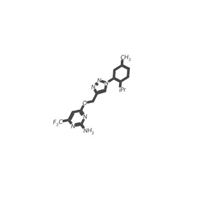 CC1CCC(C(C)C)C(n2cc(COc3cc(C(F)(F)F)nc(N)n3)nn2)C1